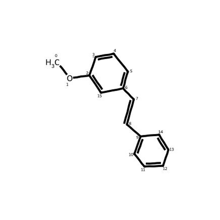 COc1[c]ccc(C=Cc2ccccc2)c1